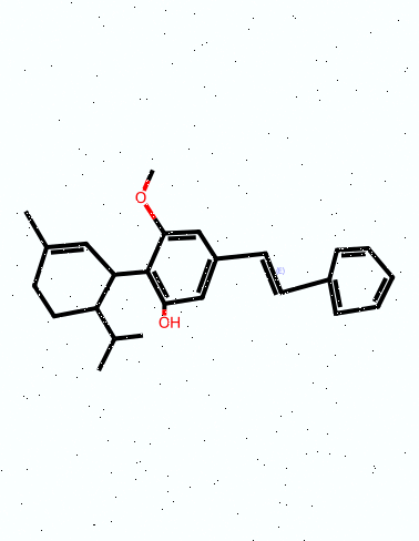 COc1cc(/C=C/c2ccccc2)cc(O)c1C1C=C(C)CCC1C(C)C